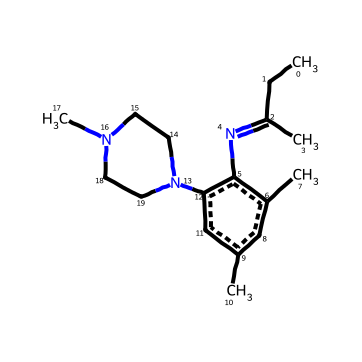 CC/C(C)=N/c1c(C)cc(C)cc1N1CCN(C)CC1